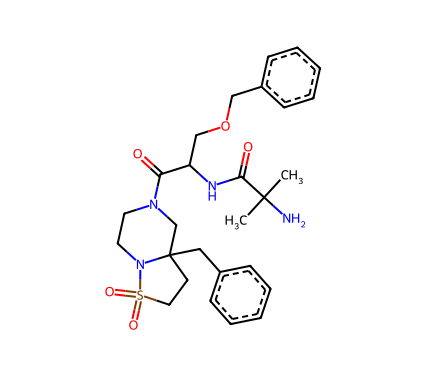 CC(C)(N)C(=O)NC(COCc1ccccc1)C(=O)N1CCN2C(Cc3ccccc3)(CCS2(=O)=O)C1